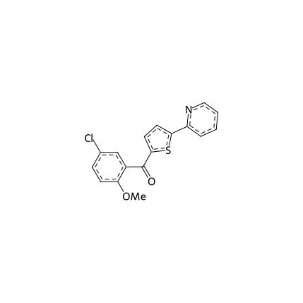 COc1ccc(Cl)cc1C(=O)c1ccc(-c2ccccn2)s1